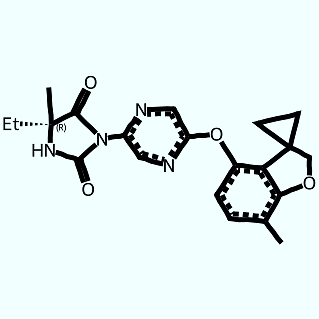 CC[C@@]1(C)NC(=O)N(c2cnc(Oc3ccc(C)c4c3C3(CC3)CO4)cn2)C1=O